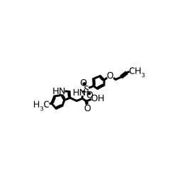 CC#CCOc1ccc(S(=O)(=O)NC(Cc2c[nH]c3cc(C)ccc23)C(=O)O)cc1